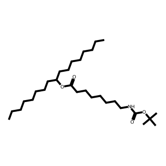 CCCCCCCCC(CCCCCCCC)OC(=O)CCCCCCCNC(=O)OC(C)(C)C